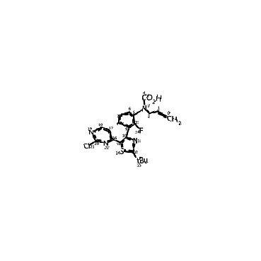 C=CCN(C(=O)O)c1cccc(-c2nc(C(C)(C)C)sc2-c2ccnc(Cl)n2)c1F